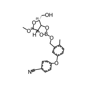 CO[C@@H]1O[C@H](CO)C2OB(OCc3cc(Oc4ccc(C#N)cc4)ccc3C)O[C@@H]21